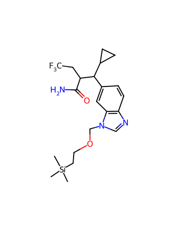 C[Si](C)(C)CCOCn1cnc2ccc(C(C3CC3)C(CC(F)(F)F)C(N)=O)cc21